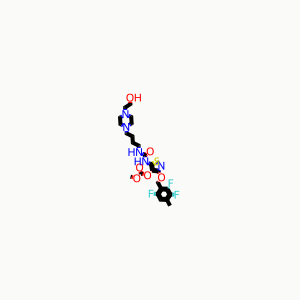 COC(=O)Oc1c(OCc2c(F)cc(C)c(F)c2F)nsc1NC(=O)NCCCCN1CCN(CCO)CC1